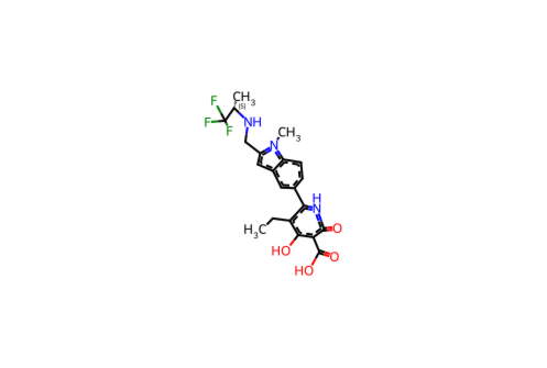 CCc1c(-c2ccc3c(c2)cc(CN[C@@H](C)C(F)(F)F)n3C)[nH]c(=O)c(C(=O)O)c1O